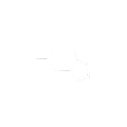 CB(O)Nc1ccsc1I